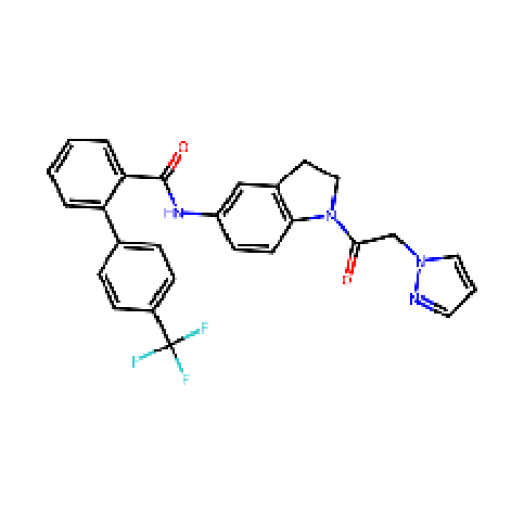 O=C(Nc1ccc2c(c1)CCN2C(=O)Cn1cccn1)c1ccccc1-c1ccc(C(F)(F)F)cc1